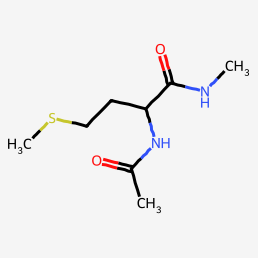 CNC(=O)C(CCSC)NC(C)=O